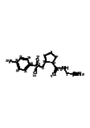 N#CCNC(=O)C1CCCC1CS(=O)(=O)c1ccc(F)cc1